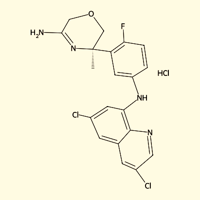 C[C@@]1(c2cc(Nc3cc(Cl)cc4cc(Cl)cnc34)ccc2F)COCC(N)=N1.Cl